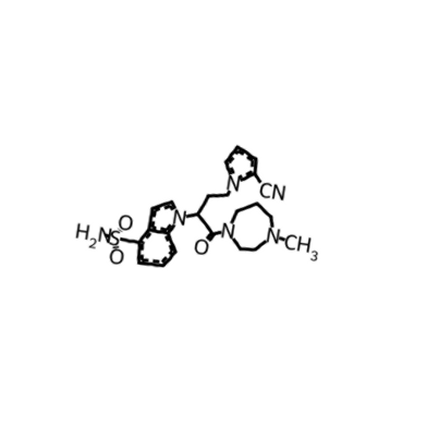 CN1CCCN(C(=O)C(CCn2cccc2C#N)n2ccc3c(S(N)(=O)=O)cccc32)CC1